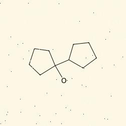 [O]C1(C2CCCC2)CCCC1